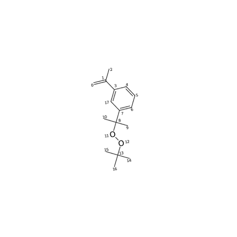 C=C(C)c1cccc(C(C)(C)OOC(C)(C)C)c1